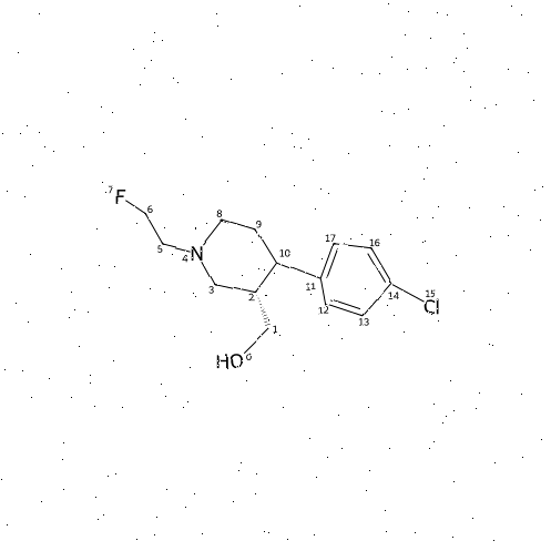 OC[C@@H]1CN(CCF)CCC1c1ccc(Cl)cc1